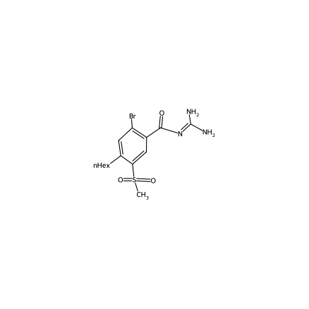 CCCCCCc1cc(Br)c(C(=O)N=C(N)N)cc1S(C)(=O)=O